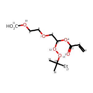 C=CC(=O)OC(COCCOC(=O)O)OOC(C)(C)CC